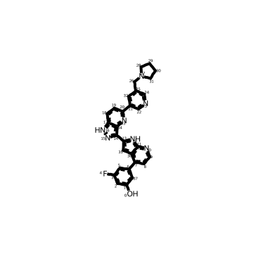 Oc1cc(F)cc(-c2ccnc3[nH]c(-c4n[nH]c5ccc(-c6cncc(CN7CCCC7)c6)nc45)cc23)c1